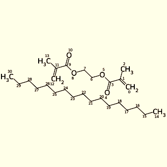 C=C(C)C(=O)OCCOC(=O)C(=C)C.CCCCCCCCCCCCCCCCC